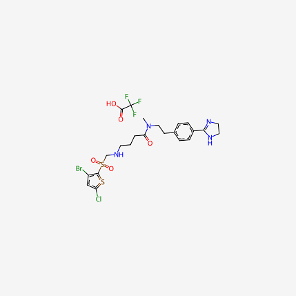 CN(CCc1ccc(C2=NCCN2)cc1)C(=O)CCCNCS(=O)(=O)c1sc(Cl)cc1Br.O=C(O)C(F)(F)F